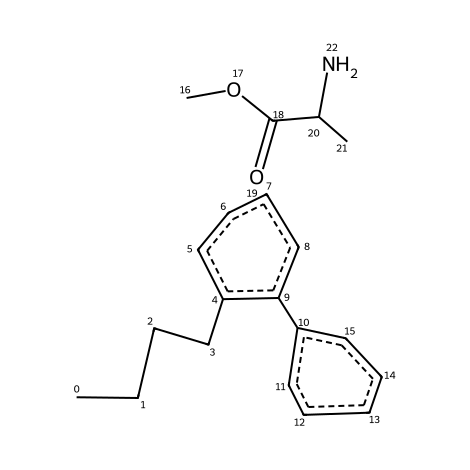 CCCCc1ccccc1-c1ccccc1.COC(=O)C(C)N